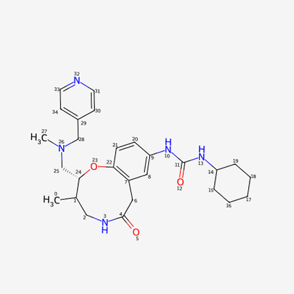 CC1CNC(=O)Cc2cc(NC(=O)NC3CCCCC3)ccc2O[C@H]1CN(C)Cc1ccncc1